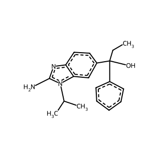 CCC(O)(c1ccccc1)c1ccc2nc(N)n(C(C)C)c2c1